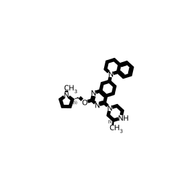 C[C@H]1CN(c2nc(OC[C@@H]3CCCN3C)nc3c2CCC(N2CCCc4ccccc42)C3)CCN1